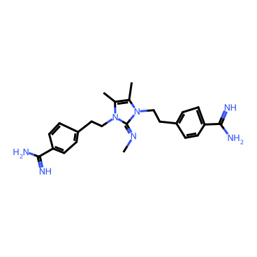 CN=c1n(CCc2ccc(C(=N)N)cc2)c(C)c(C)n1CCc1ccc(C(=N)N)cc1